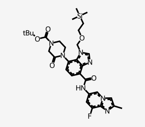 Cc1cn2cc(NC(=O)c3ccc(N4CCN(C(=O)OC(C)(C)C)CC4=O)c4c3ncn4COCC[Si](C)(C)C)cc(F)c2n1